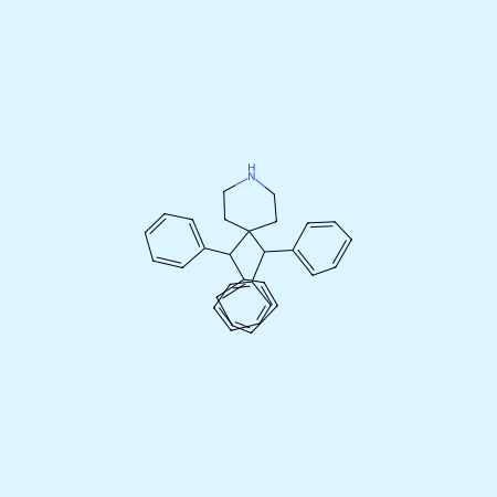 c1ccc(C(c2ccccc2)C2(C(c3ccccc3)c3ccccc3)CCNCC2)cc1